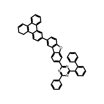 C1=Cc2c(c3ccc(-c4ccc5oc6cc(-c7nc(-c8ccccc8)nc(-c8ccccc8-c8ccccc8)n7)ccc6c5c4)cc3c3ccccc23)CC1